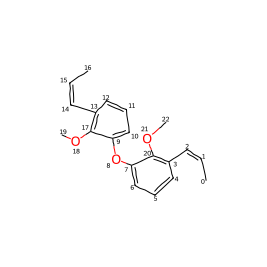 C/C=C\c1cccc(Oc2cccc(/C=C\C)c2OC)c1OC